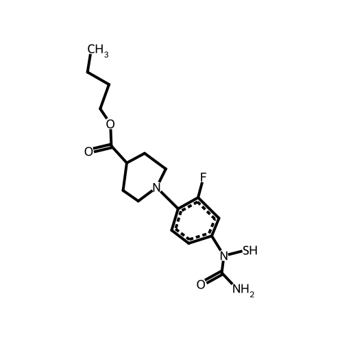 CCCCOC(=O)C1CCN(c2ccc(N(S)C(N)=O)cc2F)CC1